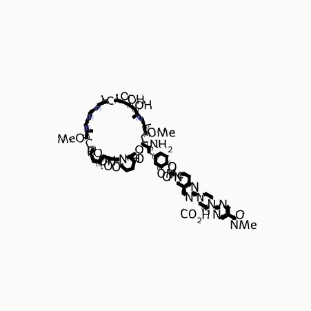 CNC(=O)c1cnc(N2CCN(c3ncc4c(n3)CCN(C(=O)O[C@@H]3CC[C@@H](C[C@@H](N)[C@@H]5C[C@@H](OC)[C@H](C)/C=C(\C)[C@@H](O)[C@@H](O)C(=O)[C@H](C)C[C@H](C)/C=C/C=C/C=C(\C)[C@@H](OC)C[C@@H]6CC[C@@H](C)[C@@](O)(O6)C(=O)C(=O)N6CCCC[C@H]6C(=O)O5)C[C@H]3OC)C4)C[C@@H]2C(=O)O)nc1